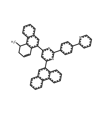 CC1CC=Cc2c(-c3cc(-c4cc5ccccc5c5ccccc45)nc(-c4ccc(-c5ccccn5)cc4)n3)cc3ccccc3c21